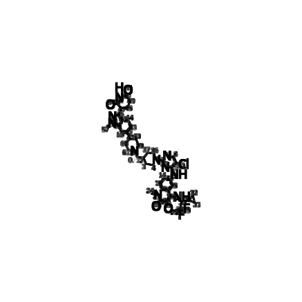 C[C@@H](C1CCN(c2ncc(Cl)c(Nc3ccc4c(c3)c3c(c(=O)n4C)OCC(F)(F)[C@H](C4CC4)N3)n2)CC1)N1CCC(c2ccc3c(C4CCC(=O)NC4=O)nn(C)c3c2)CC1